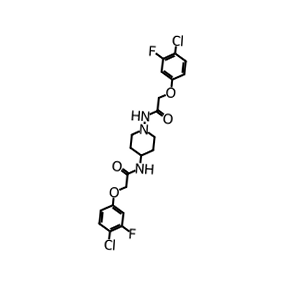 O=C(COc1ccc(Cl)c(F)c1)NC1CCN(NC(=O)COc2ccc(Cl)c(F)c2)CC1